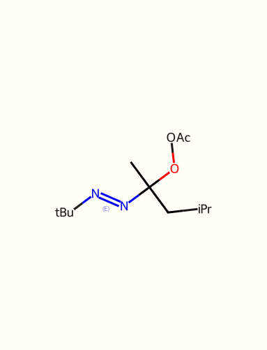 CC(=O)OOC(C)(CC(C)C)/N=N/C(C)(C)C